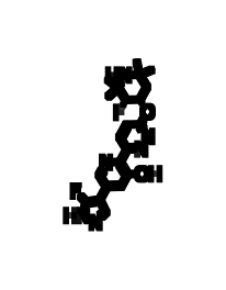 CC1(C)C[C@H](Oc2ccc(-c3ncc(-c4cn[nH]c4F)cc3O)nn2)[C@H](F)C(C)(C)N1